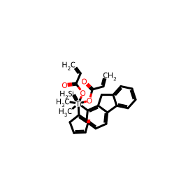 C=CC(=O)[O][Ti]([CH3])([CH3])(=[SiH2])([O]C(=O)C=C)([C]1=CC=CC1)[c]1cccc2c1Cc1ccccc1-2